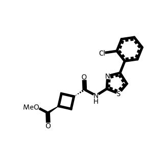 COC(=O)[C@H]1C[C@H](C(=O)Nc2nc(-c3ccccc3Cl)cs2)C1